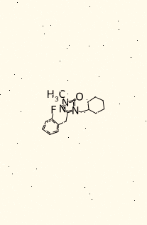 Cn1nc(Cc2ccccc2F)n(CC2CCCCC2)c1=O